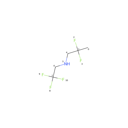 CC(F)(F)CNCC(F)(F)F